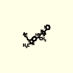 C=C(Nc1nc(-c2ccccn2)cs1)c1ccc2c(c1)nc(C)n2CCCC(C)=O